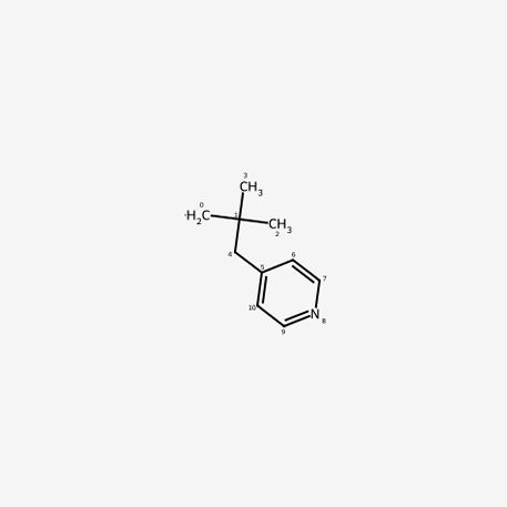 [CH2]C(C)(C)Cc1ccncc1